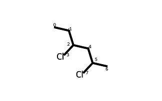 C[CH]C(Cl)CC(C)Cl